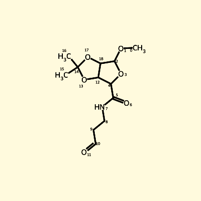 COC1OC(C(=O)NCCC=O)C2OC(C)(C)OC12